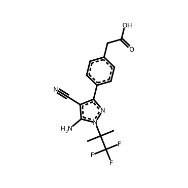 CC(C)(n1nc(-c2ccc(CC(=O)O)cc2)c(C#N)c1N)C(F)(F)F